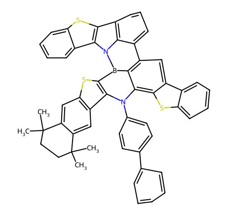 CC1(C)CCC(C)(C)c2cc3c4c(sc3cc21)B1c2c(cc3c(sc5ccccc53)c2N4c2ccc(-c3ccccc3)cc2)-c2cccc3c4sc5ccccc5c4n1c23